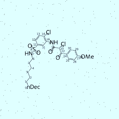 CCCCCCCCCCCCCCCCNS(=O)(=O)c1ccc(Cl)c(NC(=O)C(Cl)C(=O)c2ccc(OC)cc2)c1